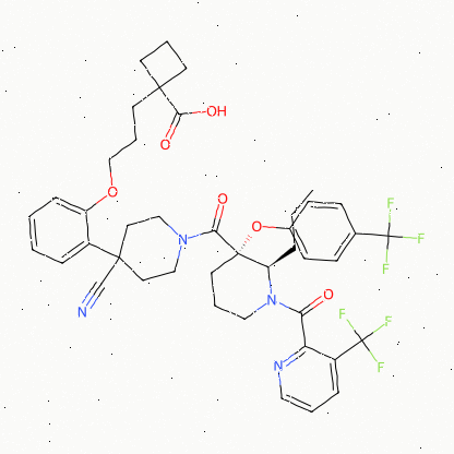 CCC[C@H]1N(C(=O)c2ncccc2C(F)(F)F)CCC[C@@]1(Oc1ccc(C(F)(F)F)cc1)C(=O)N1CCC(C#N)(c2ccccc2OCCCC2(C(=O)O)CCC2)CC1